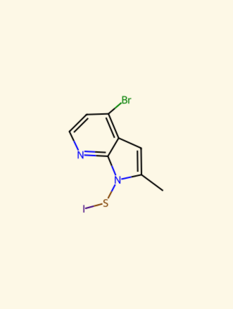 Cc1cc2c(Br)ccnc2n1SI